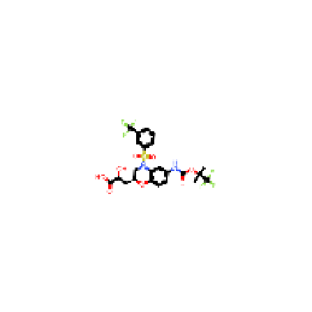 CC(C)(OC(=O)Nc1ccc2c(c1)N(S(=O)(=O)c1cccc(C(F)(F)F)c1)C[C@H](C[C@H](O)C(=O)O)O2)C(F)(F)F